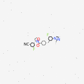 Cc1nccn1-c1cc(F)cc(C[C@H]2CC[C@H](C(=O)N3OCC[C@H]3c3cc(F)cc(C#N)c3)CC2)c1